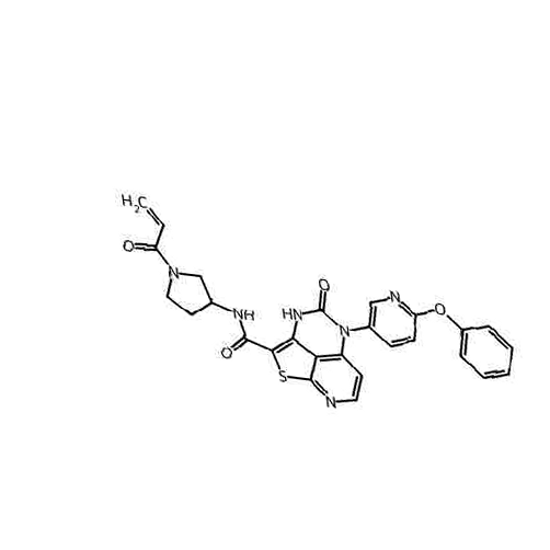 C=CC(=O)N1CCC(NC(=O)c2sc3nccc4c3c2NC(=O)N4c2ccc(Oc3ccccc3)nc2)C1